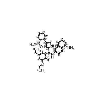 CCOc1cc(CC)cc([C@H](Nc2ccc3c(N)nccc3c2)c2nc(-c3ccccc3C(N)=O)c[nH]2)c1F